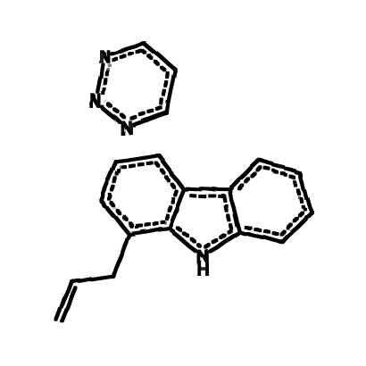 C=CCc1cccc2c1[nH]c1ccccc12.c1cnnnc1